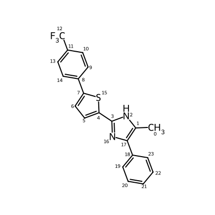 Cc1[nH]c(-c2ccc(-c3ccc(C(F)(F)F)cc3)s2)nc1-c1ccccc1